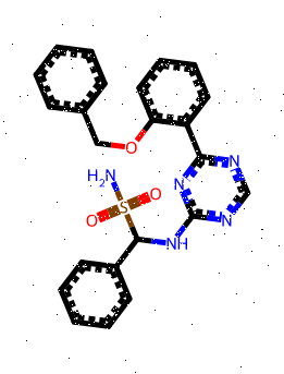 NS(=O)(=O)C(Nc1ncnc(-c2ccccc2OCc2ccccc2)n1)c1ccccc1